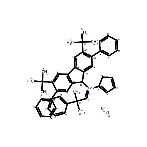 CC(C)(C)c1cc2c(cc1-c1ccccc1)[CH](/[Zr+2](=[CH]\C(C)(C)c1ccccc1)[C]1=CC=CC1)c1cc(-c3ccccc3)c(C(C)(C)C)cc1-2.[Cl-].[Cl-]